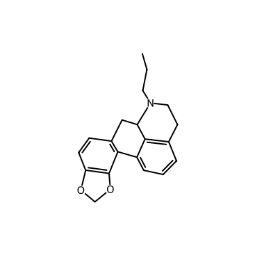 CCCN1CCc2cccc3c2C1Cc1ccc2c(c1-3)OCO2